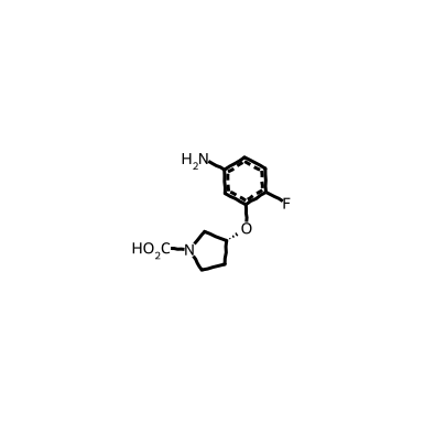 Nc1ccc(F)c(O[C@@H]2CCN(C(=O)O)C2)c1